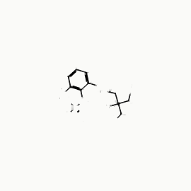 Cc1cccc(C)c1OP(=O)(O)O.NC(CO)(CO)CO